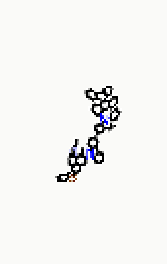 C=C/C=c1/ccc2c3c(cc(-n4c5ccccc5c5cc(-c6ccc7c(c6)C(C)(C)c6ccccc6N7c6cccc7c6-c6ccccc6C76c7ccccc7-c7ccccc76)ccc54)c(C)c13)cc1sc3ccccc3c12